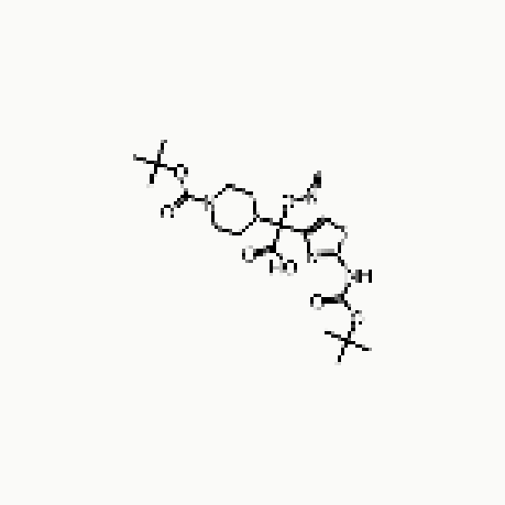 C=NOC(C(=O)O)(c1csc(NC(=O)OC(C)(C)C)n1)C1CCN(C(=O)OC(C)(C)C)CC1